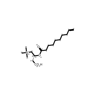 C=CCCCCCCCC(=O)O[C@H](CC(=O)O)C[N+](C)(C)C